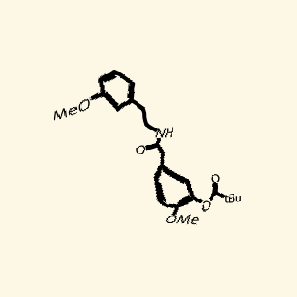 COc1cccc(CCNC(=O)Cc2ccc(OC)c(OC(=O)C(C)(C)C)c2)c1